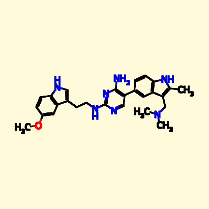 COc1ccc2[nH]cc(CCNc3ncc(-c4ccc5[nH]c(C)c(CN(C)C)c5c4)c(N)n3)c2c1